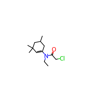 CCN(C(=O)CCl)C1=CC(C)(C)CC(C)C1